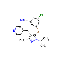 [CH2]c1nn(C(C)C)c(Sc2cc(Cl)cc(C#N)c2)c1Cc1ccncc1